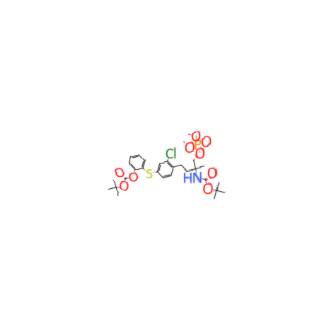 COP(=O)(OC)OCC(C)(CCc1ccc(Sc2ccccc2OC(=O)OC(C)(C)C)cc1Cl)NC(=O)OC(C)(C)C